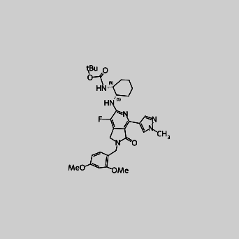 COc1ccc(CN2Cc3c(F)c(N[C@H]4CCCC[C@H]4NC(=O)OC(C)(C)C)nc(-c4cnn(C)c4)c3C2=O)c(OC)c1